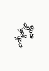 c1ccc(N(c2ccc(N(c3ccccc3)c3ccc(N(c4ccccc4)c4ccc(C56CC7CC(CC(C7)C5)C6)cc4)cc3)cc2)c2ccc(N(c3ccccc3)c3ccc(N(c4ccccc4)c4ccc(C56CC7CC(CC(C7)C5)C6)cc4)cc3)cc2)cc1